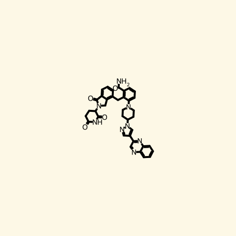 NC(=O)c1cccc(N2CCC(n3cc(-c4cnc5ccccc5n4)cn3)CC2)c1Cc1cccc2c1CN(C1CCC(=O)NC1=O)C2=O